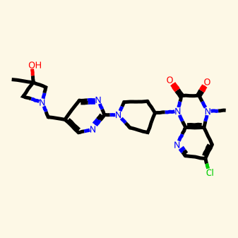 Cn1c(=O)c(=O)n(C2CCN(c3ncc(CN4CC(C)(O)C4)cn3)CC2)c2ncc(Cl)cc21